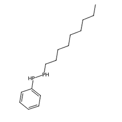 CCCCCCCCCPPc1ccccc1